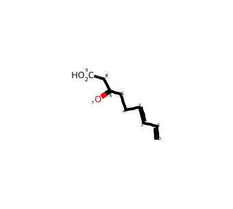 C=C/C=C/CCC(=O)CC(=O)O